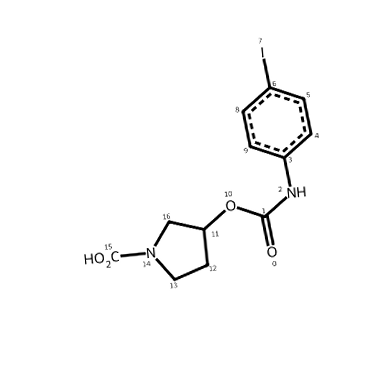 O=C(Nc1ccc(I)cc1)OC1CCN(C(=O)O)C1